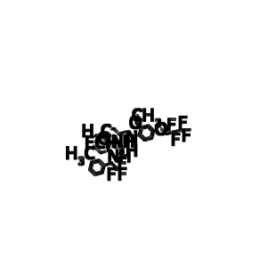 CC[C@@H](CNc1ccc(OCC(F)(F)C(F)F)cc1OC)NC(=O)[C@H](CC(C)(C)F)N[C@@H](c1ccccc1)C(F)(F)F